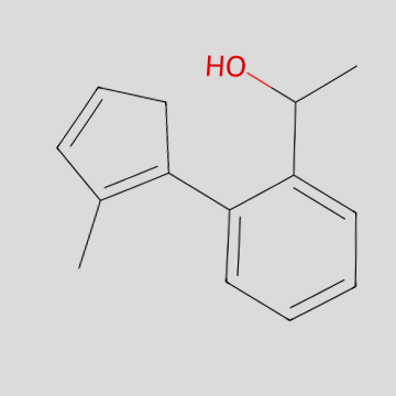 CC1=C(c2ccccc2C(C)O)CC=C1